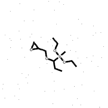 CCO[Si](C)(OCC)C(CC)OCC1CO1